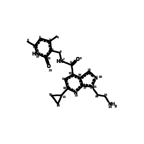 Cc1cc(C)c(CNC(=O)c2cc(C3CC3)nc3c2cnn3CCN)c(=O)[nH]1